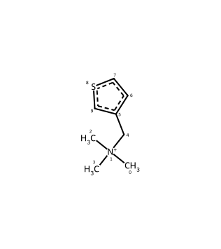 C[N+](C)(C)Cc1ccsc1